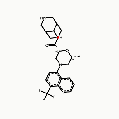 C[C@@H]1CN(c2ccc(C(F)(F)F)c3ncccc23)C[C@H](C(=O)NC2C3CNCC2COC3)O1